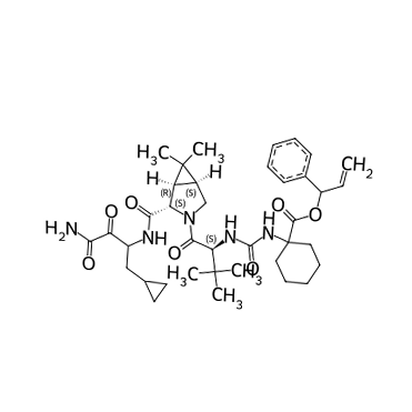 C=CC(OC(=O)C1(NC(=O)N[C@H](C(=O)N2C[C@H]3[C@@H]([C@H]2C(=O)NC(CC2CC2)C(=O)C(N)=O)C3(C)C)C(C)(C)C)CCCCC1)c1ccccc1